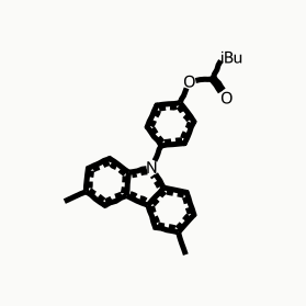 CCC(C)C(=O)Oc1ccc(-n2c3ccc(C)cc3c3cc(C)ccc32)cc1